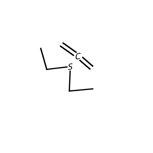 C=C=C.CCSCC